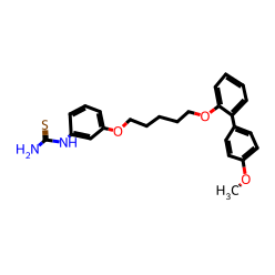 COc1ccc(-c2ccccc2OCCCCCOc2cccc(NC(N)=S)c2)cc1